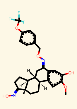 COc1cc2c(cc1O)/C(=N/OCc1ccc(OC(F)(F)F)cc1)C[C@@H]1[C@@H]2CC[C@]2(C)/C(=N/O)CC[C@@H]12